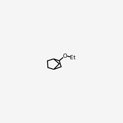 [CH2]COC1CC2CCC1C2